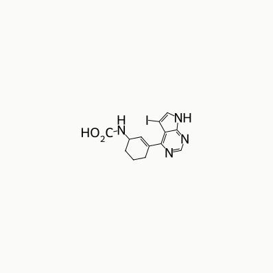 O=C(O)NC1C=C(c2ncnc3[nH]cc(I)c23)CCC1